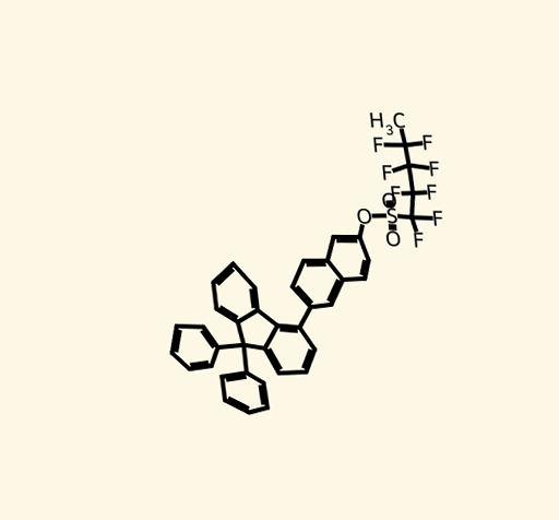 CC(F)(F)C(F)(F)C(F)(F)C(F)(F)S(=O)(=O)Oc1ccc2cc(-c3cccc4c3-c3ccccc3C4(c3ccccc3)c3ccccc3)ccc2c1